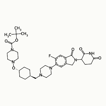 CC(C)(C)OC(=O)N1CCN(O[C@H]2CC[C@H](CN3CCN(c4cc5c(cc4F)C(=O)N(C4CCC(=O)NC4=O)C5)CC3)CC2)CC1